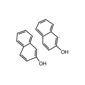 Oc1[c]c2ccccc2cc1.Oc1[c]c2ccccc2cc1